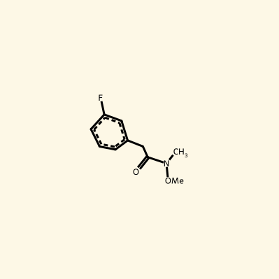 CON(C)C(=O)Cc1cccc(F)c1